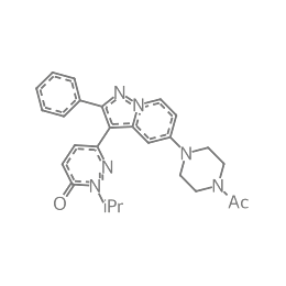 CC(=O)N1CCN(c2ccn3nc(-c4ccccc4)c(-c4ccc(=O)n(C(C)C)n4)c3c2)CC1